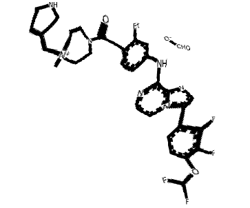 CCc1cc(Nc2nccn3c(-c4ccc(OC(F)F)c(F)c4F)cnc23)ccc1C(=O)N1CC[N+](C)(CC2CCNC2)CC1.O=C[O-]